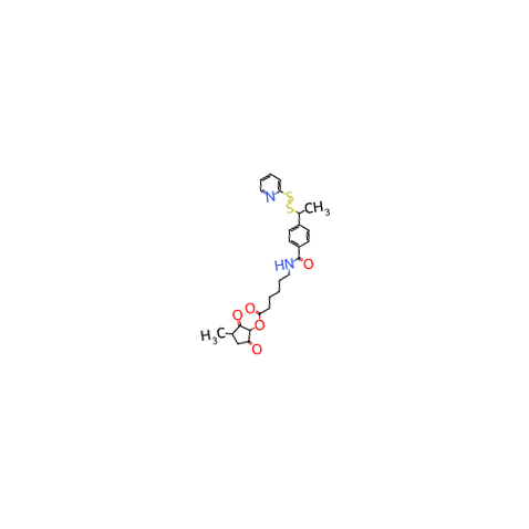 CC1CC(=O)C(OC(=O)CCCCCNC(=O)c2ccc(C(C)SSc3ccccn3)cc2)C1=O